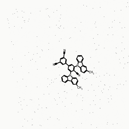 Cc1ccc2c(c1)c1ccccc1n2-c1cc(-c2cc(C#N)cc(C#N)c2)cc(-n2c3ccccc3c3cc(C)ccc32)c1C#N